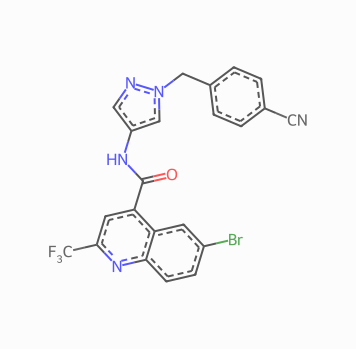 N#Cc1ccc(Cn2cc(NC(=O)c3cc(C(F)(F)F)nc4ccc(Br)cc34)cn2)cc1